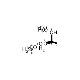 CC(=O)O.O.O.O.O.[SrH2]